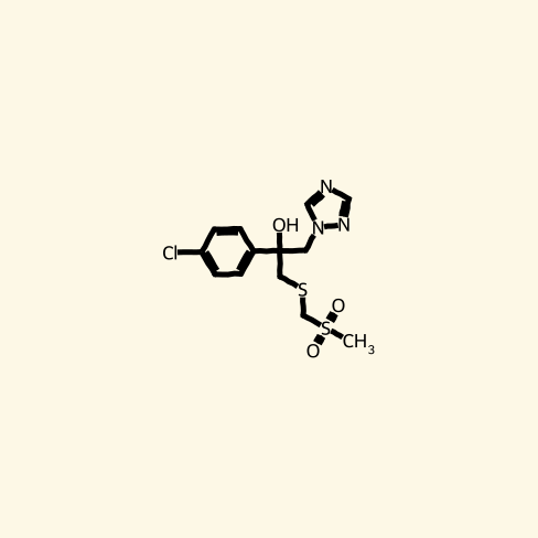 CS(=O)(=O)CSCC(O)(Cn1cncn1)c1ccc(Cl)cc1